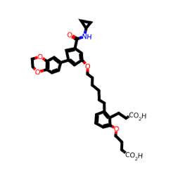 O=C(O)CCCOc1cccc(CCCCCCOc2cc(C(=O)NC3CC3)cc(-c3ccc4c(c3)OCCO4)c2)c1CCC(=O)O